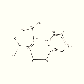 CC(C)c1ccc2cnnnc2c1C(C)C